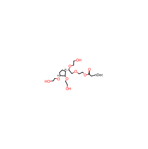 CCCCCCCCCCCC(=O)OCCOCC(OCCO)[C@H]1CC[C@@H](OCCO)C1OCCO